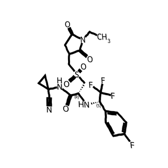 CCN1C(=O)CC(CS(=O)(=O)C[C@H](N[C@@H](c2ccc(F)cc2)C(F)(F)F)C(=O)NC2(C#N)CC2)C1=O